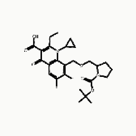 CCc1c(C(=O)O)c(=O)c2cc(F)c(F)c(CSCC3CCCN3C(=O)OC(C)(C)C)c2n1C1CC1